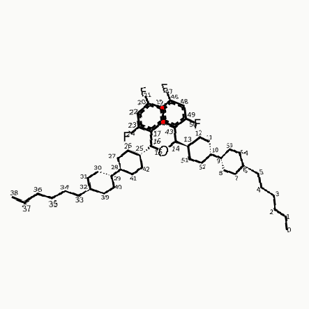 CCCCCC[C@H]1CC[C@H]([C@H]2CC[C@H](C(OC(c3ccc(F)cc3F)[C@H]3CC[C@H]([C@H]4CC[C@H](CCCCCC)CC4)CC3)c3ccc(F)cc3F)CC2)CC1